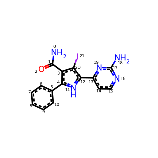 NC(=O)c1c(-c2ccccc2)[nH]c(-c2ccnc(N)n2)c1I